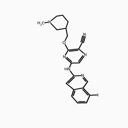 CN1CCCC(COc2nc(Nc3cc4cccc(I)c4cn3)cnc2C#N)C1